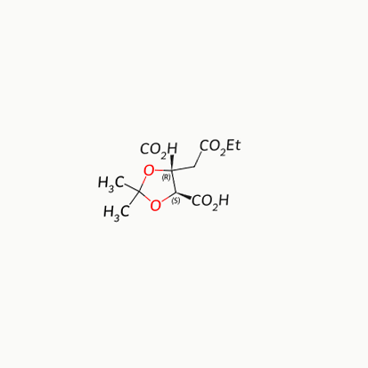 CCOC(=O)C[C@@]1(C(=O)O)OC(C)(C)O[C@@H]1C(=O)O